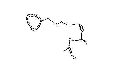 CC(=O)OC(C)/C=C\CCOCc1ccccc1